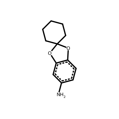 Nc1ccc2c(c1)OC1(CCCCC1)O2